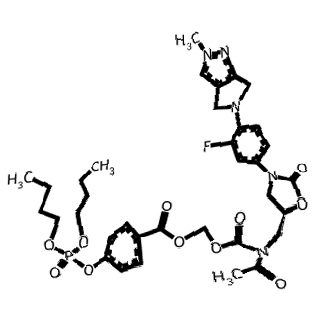 CCCCOP(=O)(OCCCC)Oc1ccc(C(=O)OCOC(=O)N(C[C@H]2CN(c3ccc(N4Cc5cn(C)nc5C4)c(F)c3)C(=O)O2)C(C)=O)cc1